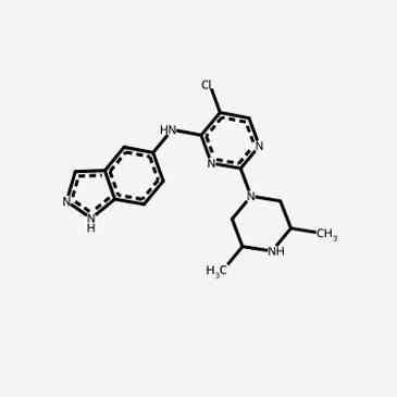 CC1CN(c2ncc(Cl)c(Nc3ccc4[nH]ncc4c3)n2)CC(C)N1